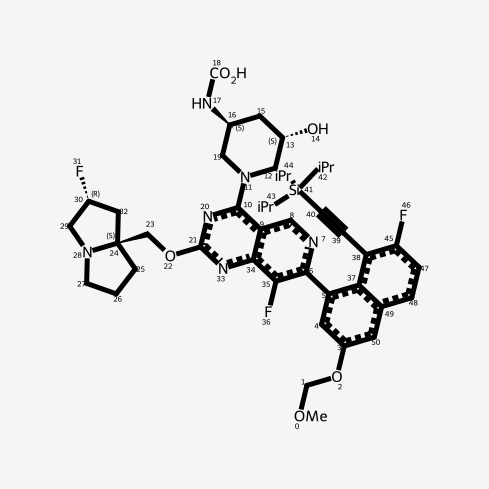 COCOc1cc(-c2ncc3c(N4C[C@@H](O)C[C@H](NC(=O)O)C4)nc(OC[C@@]45CCCN4C[C@H](F)C5)nc3c2F)c2c(C#C[Si](C(C)C)(C(C)C)C(C)C)c(F)ccc2c1